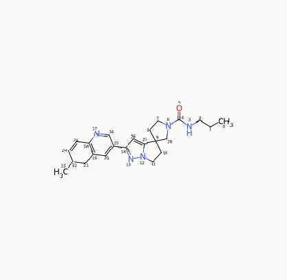 CCCNC(=O)N1CCC2(CCn3nc(-c4cnc5c(c4)CC(C)C=C5)cc32)C1